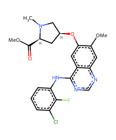 COC(=O)[C@@H]1C[C@H](Oc2cc3c(Nc4cccc(Cl)c4F)ncnc3cc2OC)CN1C